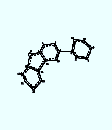 [c]1ccc(-c2ccc3oc4ncccc4c3c2)cc1